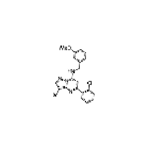 COc1cccc(CNc2cc(-c3ccccc3Cl)nc3c(Br)cnn23)c1